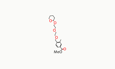 COC(=O)c1ccc(COCCOCCOC2CCCCO2)c(C)c1